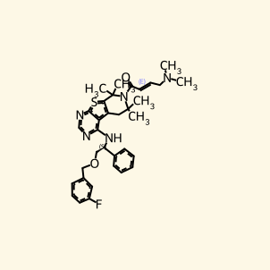 CN(C)C/C=C/C(=O)N1C(C)(C)Cc2c(sc3ncnc(N[C@H](COCc4cccc(F)c4)c4ccccc4)c23)C1(C)C